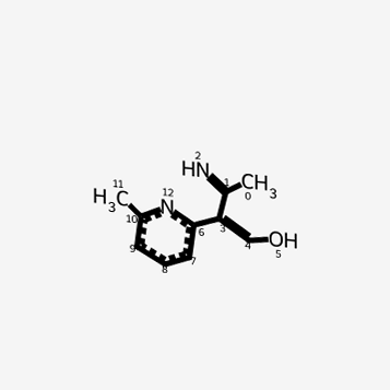 CC(=N)/C(=C\O)c1cccc(C)n1